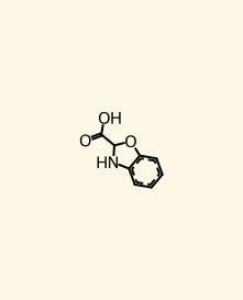 O=C(O)C1Nc2ccccc2O1